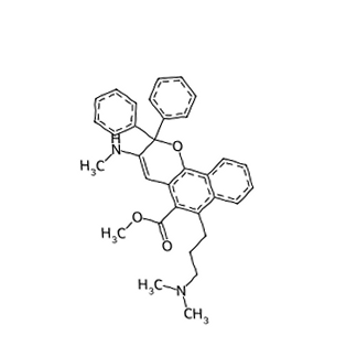 CNC1=Cc2c(C(=O)OC)c(CCCN(C)C)c3ccccc3c2OC1(c1ccccc1)c1ccccc1